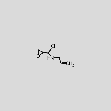 C=CCNC(Cl)C1CO1